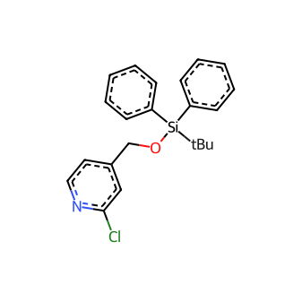 CC(C)(C)[Si](OCc1ccnc(Cl)c1)(c1ccccc1)c1ccccc1